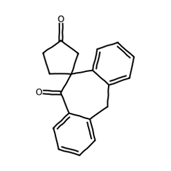 O=C1CCC2(C1)C(=O)c1ccccc1Cc1ccccc12